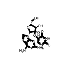 Nc1nc(N)c2ncn([C@@H]3O[C@H](CO)[C@@H](O)[C@]3(O)Oc3c[nH]c(=O)[nH]c3=O)c2n1